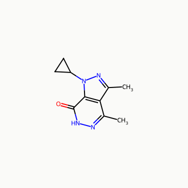 Cc1n[nH]c(=O)c2c1c(C)nn2C1CC1